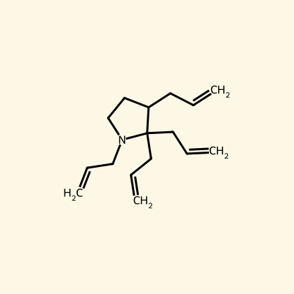 C=CCC1CCN(CC=C)C1(CC=C)CC=C